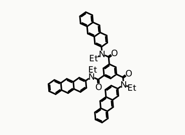 CCN(C(=O)c1cc(C(=O)N(CC)c2ccc3cc4ccccc4cc3c2)cc(C(=O)N(CC)c2ccc3cc4ccccc4cc3c2)c1)c1ccc2cc3ccccc3cc2c1